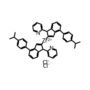 CC(C)c1ccc(-c2cccc3c2C=[C]([Zr+2][C]2=Cc4c(-c5ccc(C(C)C)cc5)cccc4C2c2ccccn2)C3c2ccccn2)cc1.[Cl-].[Cl-]